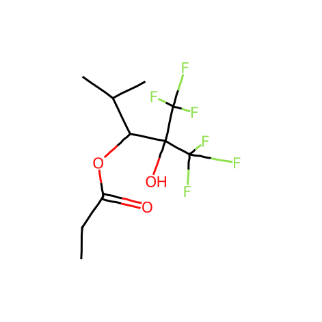 CCC(=O)OC(C(C)C)C(O)(C(F)(F)F)C(F)(F)F